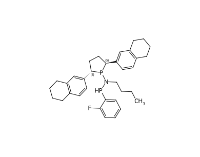 CCCCN(Pc1ccccc1F)P1[C@H](c2ccc3c(c2)CCCC3)CC[C@H]1c1ccc2c(c1)CCCC2